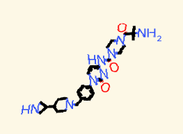 CC(C)(N)C(=O)N1CCN(C(=O)Nc2ccn(-c3ccc(CN4CCC(C5CNC5)CC4)cc3)c(=O)n2)CC1